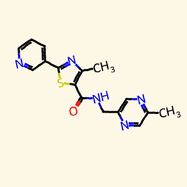 Cc1cnc(CNC(=O)c2sc(-c3cccnc3)nc2C)cn1